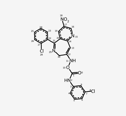 O=C(Nc1cccc(Cl)c1)ONC1=Cc2ncc([N+](=O)[O-])cc2C(c2ccccc2Cl)=NC1